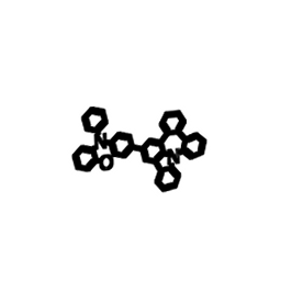 c1ccc(N2c3ccccc3Oc3cc(-c4cc5c6c(c4)c4ccccc4n6-c4ccccc4-c4ccccc4-5)ccc32)cc1